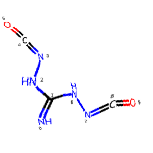 N=C(NN=C=O)NN=C=O